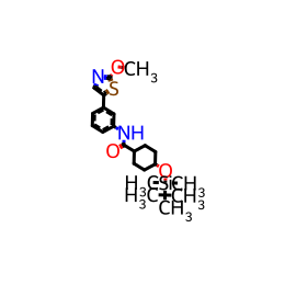 COc1ncc(-c2cccc(NC(=O)C3CCC(O[Si](C)(C)C(C)(C)C)CC3)c2)s1